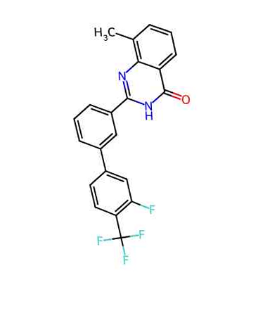 Cc1cccc2c(=O)[nH]c(-c3cccc(-c4ccc(C(F)(F)F)c(F)c4)c3)nc12